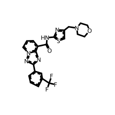 O=C(Nc1nc(CN2CCOCC2)cs1)c1cccn2nc(-c3cccc(C(F)(F)F)c3)nc12